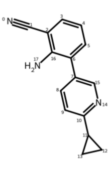 N#Cc1cccc(-c2ccc(C3CC3)nc2)c1N